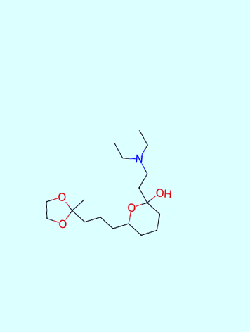 CCN(CC)CCC1(O)CCCC(CCCC2(C)OCCO2)O1